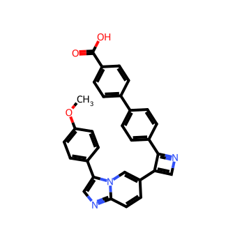 COc1ccc(-c2cnc3ccc(C4=CN=C4c4ccc(-c5ccc(C(=O)O)cc5)cc4)cn23)cc1